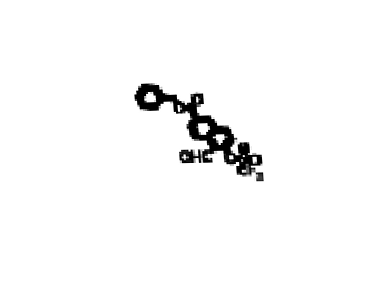 O=Cc1c(OS(=O)(=O)C(F)(F)F)ccc2cc(C(=O)OCc3ccccc3)ccc12